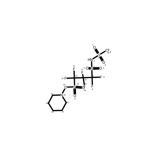 O=S(=O)(NS(=O)(=O)C(F)(F)C(F)(F)C(F)(F)S(=O)(=O)ON1CCCCC1)C(F)(F)F